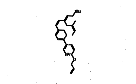 C=CCOC/C=C\C(=C/CCC)C1=CC=C(/C=C\C(=C\CC(C)(C)C)C/C(C)=C\C)CC1